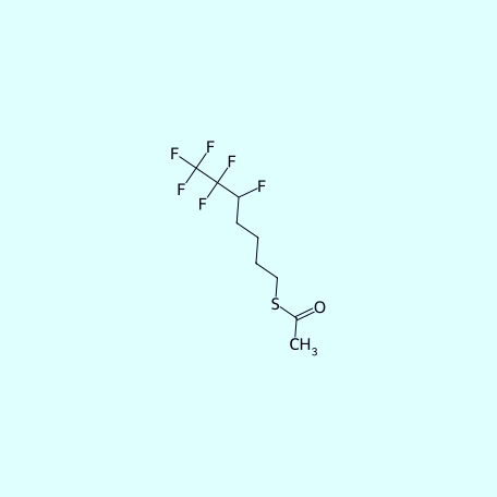 CC(=O)SCCCCC(F)C(F)(F)C(F)(F)F